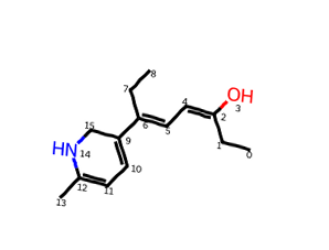 CC/C(O)=C\C=C(/CC)C1=CC=C(C)NC1